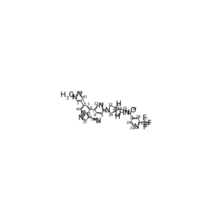 Cn1cc(-c2cc(-c3ccc(N4C[C@@H]5C(CNC(=O)c6ccnc(C(F)(F)F)c6)[C@@H]5C4)nc3)c3c(C#N)cnn3c2)cn1